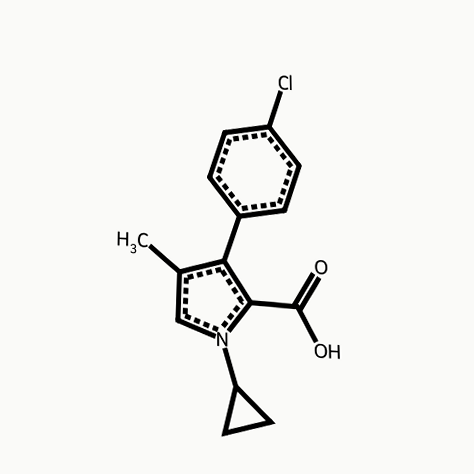 Cc1cn(C2CC2)c(C(=O)O)c1-c1ccc(Cl)cc1